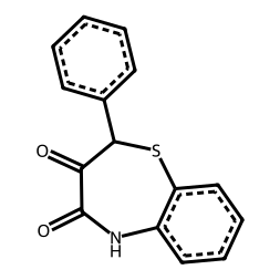 O=C1Nc2ccccc2SC(c2ccccc2)C1=O